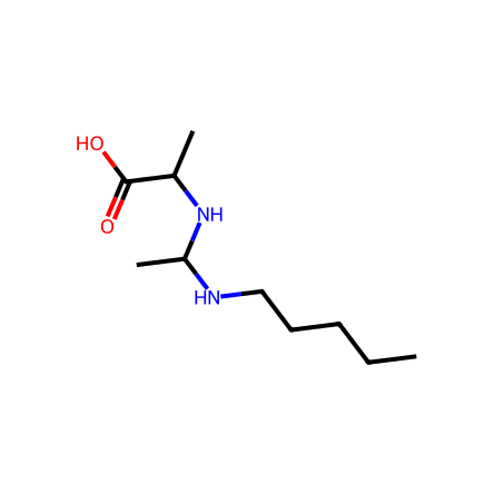 CCCCCNC(C)NC(C)C(=O)O